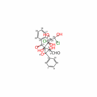 O=C[C@@](O)(C(=O)c1ccccc1)[C@](O)(C(=O)c1ccccc1)[C@](O)(Cl)[C@H](O)C(O)Cl